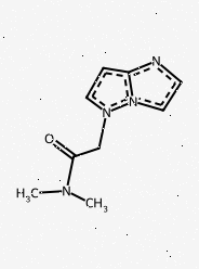 CN(C)C(=O)Cn1ccc2nccn21